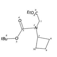 CCOC(=O)CN(C(=O)OC(C)(C)C)C1CCC1